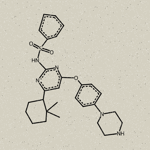 CC1(C)CCCCC1c1cc(Oc2ccc(N3CCNCC3)cc2)nc(NS(=O)(=O)c2ccccc2)n1